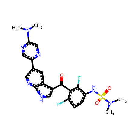 CN(C)c1cnc(-c2cnc3[nH]cc(C(=O)c4c(F)ccc(NS(=O)(=O)N(C)C)c4F)c3c2)cn1